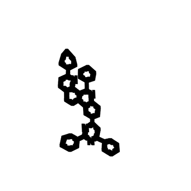 c1ccc(-c2cc(-c3ccc4nc(-c5ccccc5)c5c(ccc6ccc(-c7ccccc7)nc65)c4c3)nc(-c3ccccc3)n2)cc1